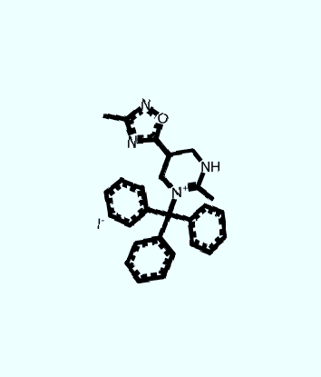 CC1=[N+](C(c2ccccc2)(c2ccccc2)c2ccccc2)CC(c2nc(C)no2)CN1.[I-]